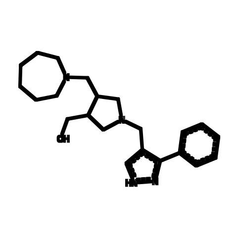 OCC1CN(Cc2c[nH]nc2-c2ccccc2)CC1CN1CCCCCC1